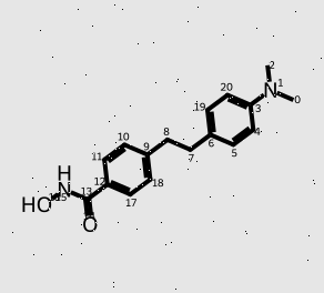 CN(C)c1ccc(CCc2ccc(C(=O)NO)cc2)cc1